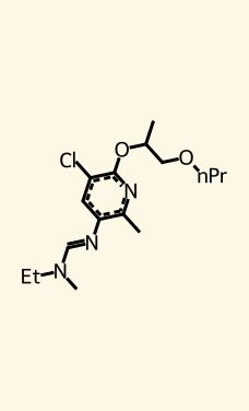 CCCOCC(C)Oc1nc(C)c(N=CN(C)CC)cc1Cl